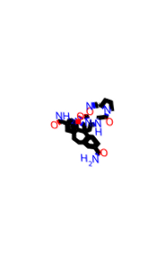 CC(C)n1oc(=O)nc1C1(C[C@@H](C)NCC(=O)N2CCC[C@H]2C#N)c2ccc(C(N)=O)cc2CCc2cc(C(N)=O)ccc21